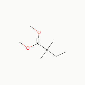 CCC(C)(C)[SiH](OC)OC